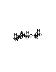 Cn1c(=O)n(C2CCC(=O)NC2=O)c2cccc(CCCOCCCNC(=O)c3ccc(-n4cc(NC(=O)c5coc(-c6ccnc(NCC7CC7)c6)n5)c(C(F)F)n4)cc3)c21